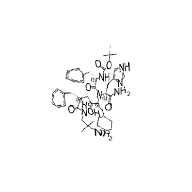 CC(C)(N)CNC(=O)[C@H](Cc1ccccc1)C[C@H](O)[C@H](CC1CCCCC1)N(C(=O)[C@H](Cc1ccccc1)NC(=O)OC(C)(C)C)[C@@H](Cc1c[nH]cn1)C(N)=O